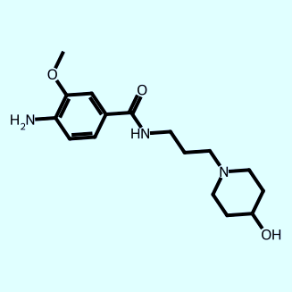 COc1cc(C(=O)NCCCN2CCC(O)CC2)ccc1N